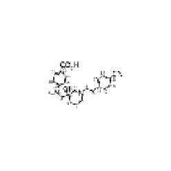 CN(CC1(O)CCCN(CCc2ccc(C#N)cc2)C1)c1ccc(C(=O)O)cc1